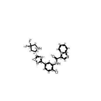 O=C(Nc1cc(-c2noc([C@@H]3CC(F)(F)CN3)n2)ccc1Cl)c1cnc2ccccn12